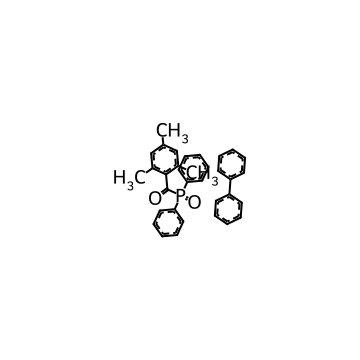 Cc1cc(C)c(C(=O)P(=O)(c2ccccc2)c2ccccc2)c(C)c1.c1ccc(-c2ccccc2)cc1